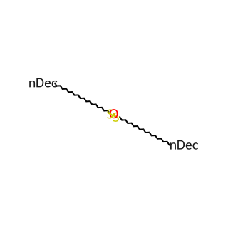 CCCCCCCCCCCCCCCCCCCCCCCCCCCCSOSCCCCCCCCCCCCCCCCCCCCCCCCCCCC